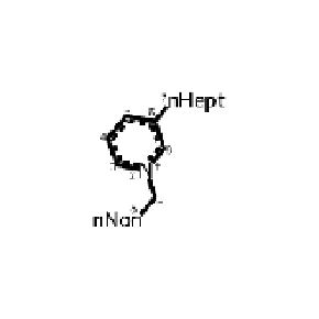 CCCCCCCCCC[n+]1cccc(CCCCCCC)c1